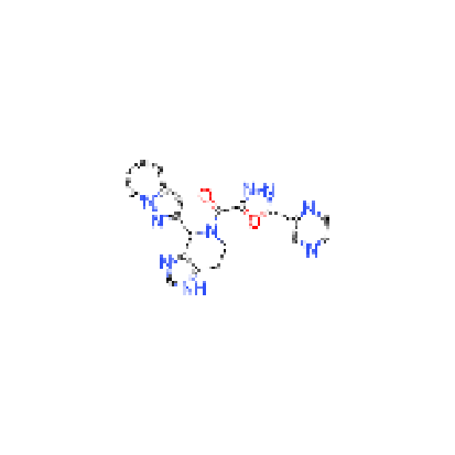 O=C(c1nnc(-c2cnccn2)o1)N1CCc2[nH]cnc2C1c1cc2ccccn2n1